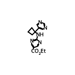 CCOC(=O)c1cnc(NC2(c3cncnc3)CCC2)nc1